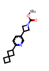 CC(C)(C)OC(=O)N1CC(c2ccc(C3CC4(CCC4)C3)nc2)C1